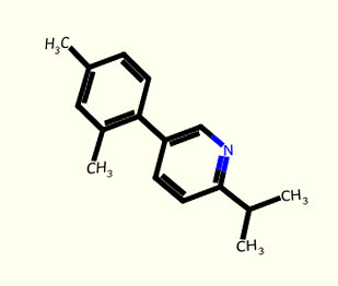 Cc1ccc(-c2ccc(C(C)C)nc2)c(C)c1